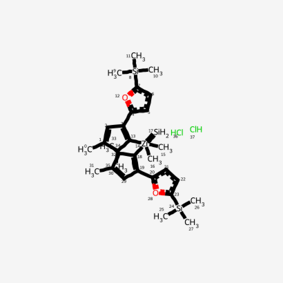 CC1=CC(c2ccc([Si](C)(C)C)o2)=[C]([Zr]([CH3])([CH3])(=[SiH2])[C]2=C(c3ccc([Si](C)(C)C)o3)C=C(C)C2C)C1C.Cl.Cl